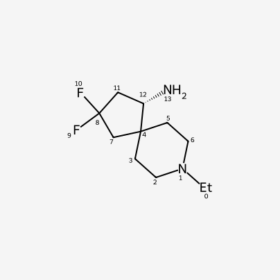 CCN1CCC2(CC1)CC(F)(F)C[C@@H]2N